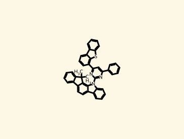 CC1(C)c2ccccc2-c2ccc3c4ccccc4n(-c4nc(-c5ccccc5)cc(-c5cccc6c5sc5ccccc56)n4)c3c21